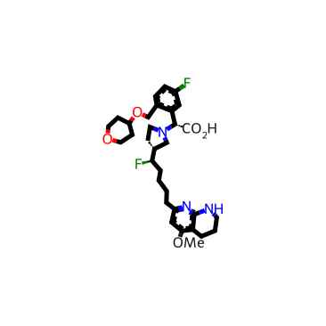 COc1cc(CCCC[C@@H](F)[C@@H]2CCN([C@@H](C(=O)O)c3cc(F)ccc3COC3CCOCC3)C2)nc2c1CCCN2